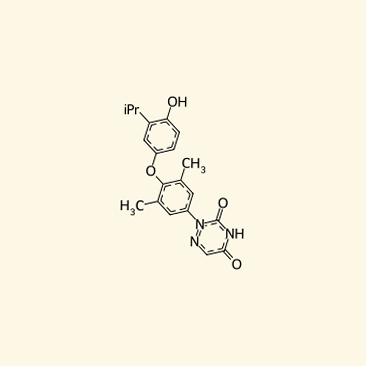 Cc1cc(-n2ncc(=O)[nH]c2=O)cc(C)c1Oc1ccc(O)c(C(C)C)c1